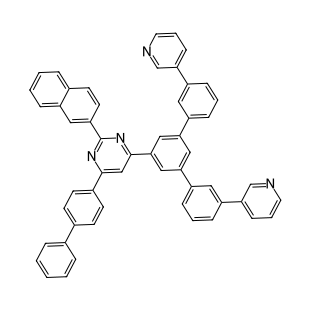 c1ccc(-c2ccc(-c3cc(-c4cc(-c5cccc(-c6cccnc6)c5)cc(-c5cccc(-c6cccnc6)c5)c4)nc(-c4ccc5ccccc5c4)n3)cc2)cc1